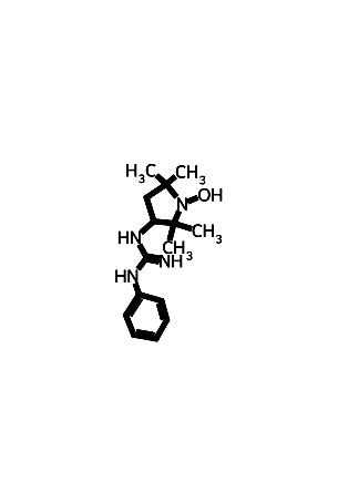 CC1(C)CC(NC(=N)Nc2ccccc2)C(C)(C)N1O